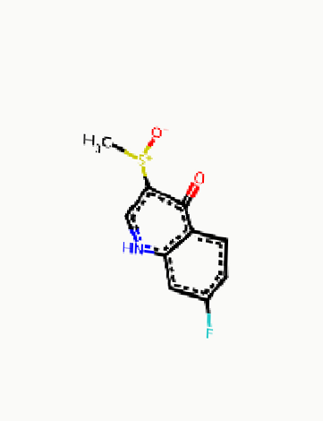 C[S+]([O-])c1c[nH]c2cc(F)ccc2c1=O